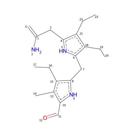 C=C(N)Cc1[nH]c(Cc2[nH]c(C=O)c(C)c2CC)c(CC)c1CC